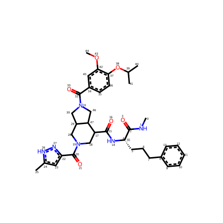 CNC(=O)[C@H](CCCc1ccccc1)NC(=O)C1CN(C(=O)c2cc(C)[nH]n2)CC2CN(C(=O)c3ccc(OC(C)C)c(OC)c3)CC21